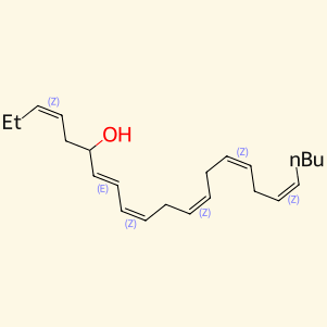 CC/C=C\CC(O)/C=C/C=C\C/C=C\C/C=C\C/C=C\CCCC